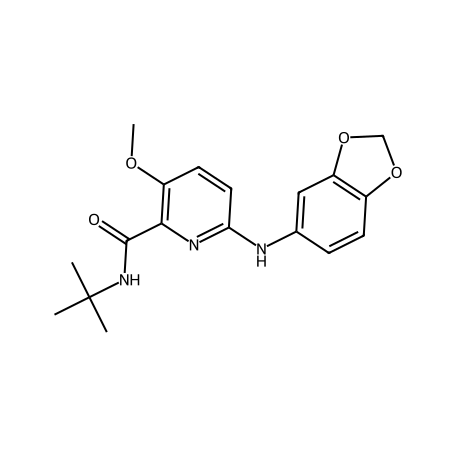 COc1ccc(Nc2ccc3c(c2)OCO3)nc1C(=O)NC(C)(C)C